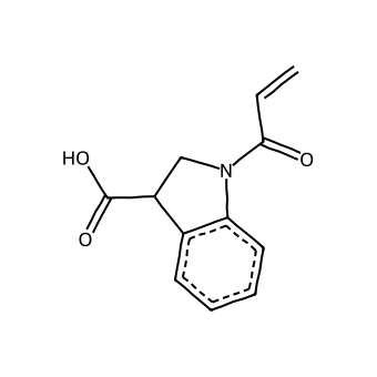 C=CC(=O)N1CC(C(=O)O)c2ccccc21